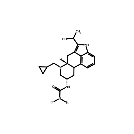 CCN(CC)C(=O)N[C@H]1CC2c3cccc4[nH]c(C(C)O)c(c34)C[C@H]2N(CC2CC2)C1